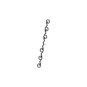 COCCCOCCCOCC[CH]CCCOCCCOCCCOC